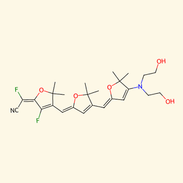 CC1(C)O/C(=C\C2=C(F)C(=C(/F)C#N)/OC2(C)C)C=C1/C=C1/C=C(N(CCO)CCO)C(C)(C)O1